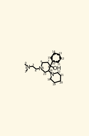 CN(C)CCN1CCC(O)(c2ccccc2)C(N2CCCCC2)C1